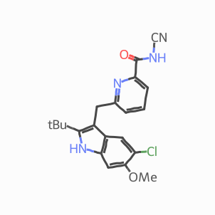 COc1cc2[nH]c(C(C)(C)C)c(Cc3cccc(C(=O)NC#N)n3)c2cc1Cl